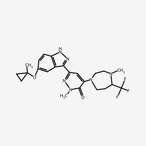 CN1CCN(c2cc(-c3n[nH]c4ccc(OC5(C)CC5)cc34)nn(C)c2=O)CCC1C(F)(F)F